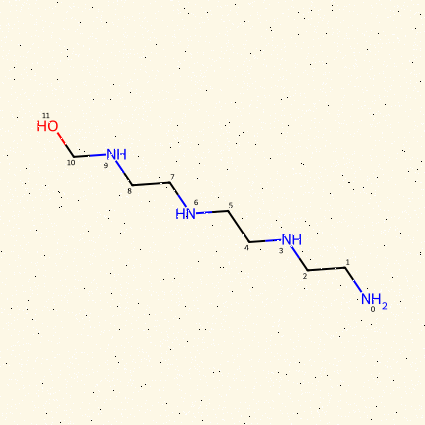 NCCNCCNCCNCO